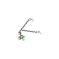 CCCCCCCCCCCCC(CCCCCCCCCC)Cc1csc(-c2cc(F)c(Br)c3cscc23)c1